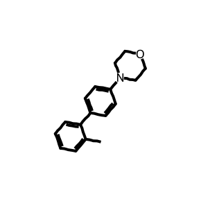 Cc1ccccc1-c1ccc(N2CCOCC2)cc1